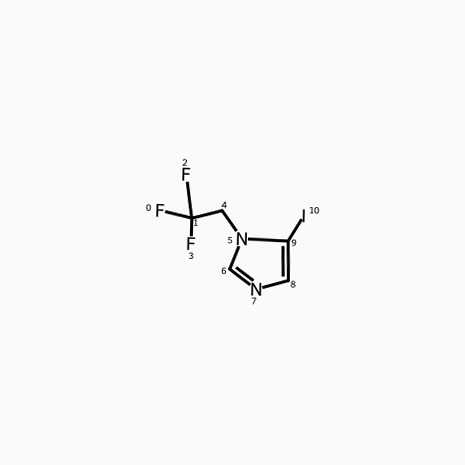 FC(F)(F)Cn1cncc1I